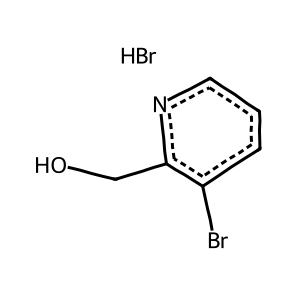 Br.OCc1ncccc1Br